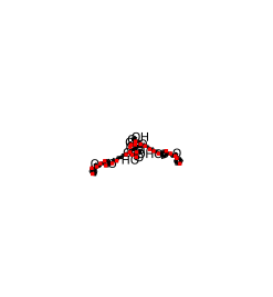 O=C(/C=C/c1ccc(OCCCCCCOc2cc(C(=O)O)c(C(=O)O)c(-c3cc(OCCCCCCOc4ccc(/C=C/C(=O)c5ccccc5)cc4)cc(C(=O)O)c3C(=O)O)c2)cc1)c1ccccc1